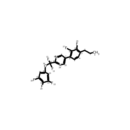 CCCc1ccc(-c2cnc(C(F)(F)Oc3cc(F)c(F)c(F)c3)nc2)c(F)c1F